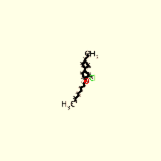 CCCCCCCCCOc1ccc(-c2ccc(CCC)cc2)cc1Cl